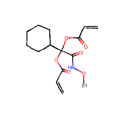 C=CC(=O)OC(OC(=O)C=C)(C(=O)NOCC)C1CCCCC1